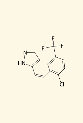 FC(F)(F)c1ccc(Cl)c(/C=C\c2ccn[nH]2)c1